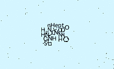 CCCCCCCC(=O)OC[C@@H](NC(=O)N1CC(C(=N)NC(=O)C2(S(C)(C)C)CCC2)=C(N)C1(C)C)c1ccccc1